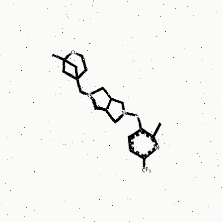 Cc1nc(C(F)(F)F)ccc1SN1CC2CN(CC34CCOC(C)(C3)C4)CC2C1